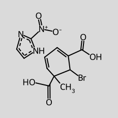 CC1(C(=O)O)C=CC=C(C(=O)O)C1Br.O=[N+]([O-])c1ncc[nH]1